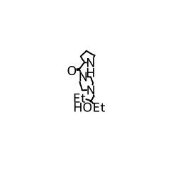 CCC(O)(CC)CN1CCN(C(=O)C2CCCN2)CC1